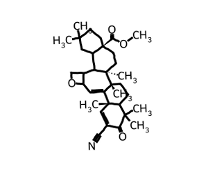 COC(=O)[C@]12CCC(C)(C)CC1C1C3COC3C=C3[C@@]4(C)C=C(C#N)C(=O)C(C)(C)C4CC[C@@]3(C)[C@]1(C)CC2